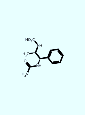 C[C@@H](NC(=O)O)[C@H](NC(N)=O)c1ccccc1